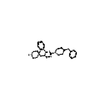 c1ccc(CC2CCN(c3ncc4c(n3)-c3ccccc3C3(CCNCC3)C4)CC2)cc1